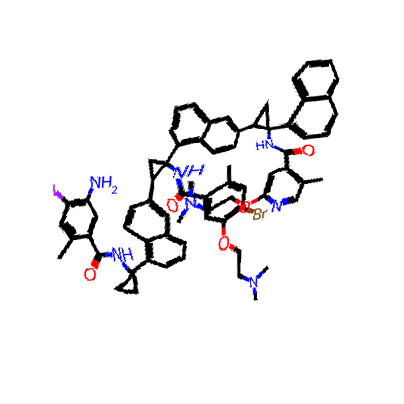 Cc1cc(I)c(N)cc1C(=O)NC1(c2cccc3cc(C4CC4(NC(=O)c4cc(OCCN(C)C)c(Br)cc4C)c4cccc5cc(C6CC6(NC(=O)c6cc(OCCN(C)C)ncc6C)c6cccc7ccccc67)ccc45)ccc23)CC1